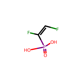 O=P(O)(O)C(F)=CF